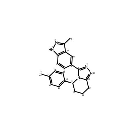 Cc1n[nH]c2ccc(-c3nnc4n3[C@H](c3ccc(Cl)cc3)CCC4)cc12